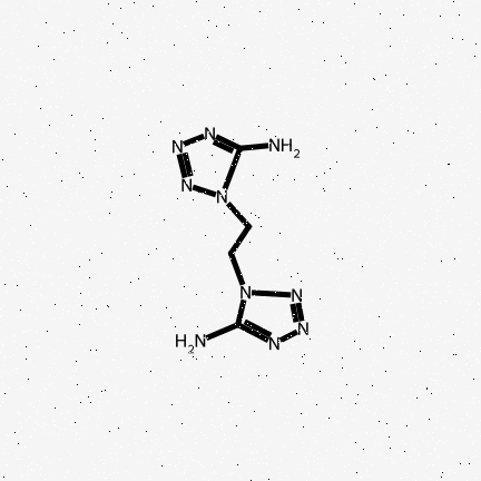 Nc1nnnn1CCn1nnnc1N